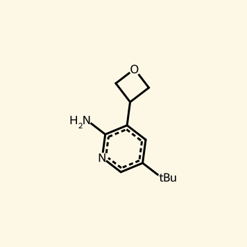 CC(C)(C)c1cnc(N)c(C2COC2)c1